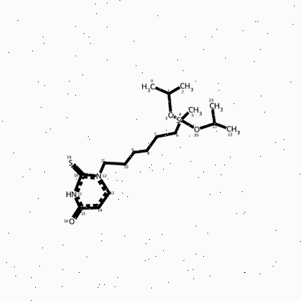 CC(C)O[Si](C)(CCCCCCn1ccc(=O)[nH]c1=S)OC(C)C